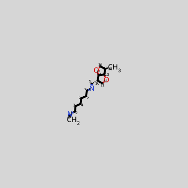 C=NCCCCCC/N=C/[C@H]1COC2C1OC[C@H]2C